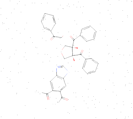 COC(=O)c1cc2nc([C@@H]3O[C@H](C(O)C(=O)c4ccccc4)[C@](O)(C(=O)c4ccccc4)[C@]3(O)C(=O)c3ccccc3)[nH]c2cc1C(=O)OC